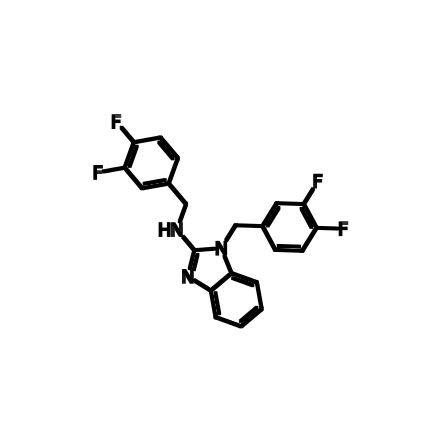 Fc1ccc(CNc2nc3ccccc3n2Cc2ccc(F)c(F)c2)cc1F